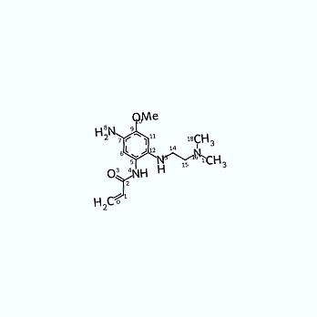 C=CC(=O)Nc1cc(N)c(OC)cc1NCCN(C)C